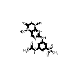 CC(C)N1CC(=O)N(C)c2cnc(Nc3cc(NC(N)=O)cc(S(C)(=O)=O)c3)nc21